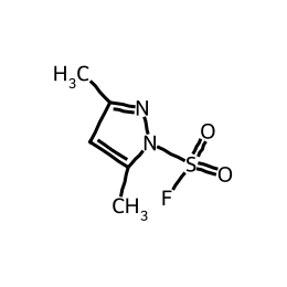 Cc1cc(C)n(S(=O)(=O)F)n1